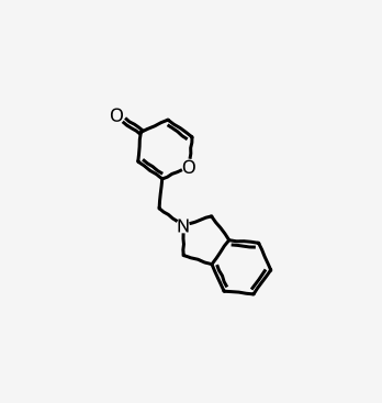 O=c1ccoc(CN2Cc3ccccc3C2)c1